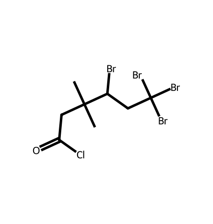 CC(C)(CC(=O)Cl)C(Br)CC(Br)(Br)Br